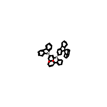 c1ccc(-c2ccccc2N(c2cccc(-n3c4ccccc4c4ccccc43)c2)c2ccc3c(c2)C2(c4ccccc4-3)C3CC4CC(C3)CC2C4)cc1